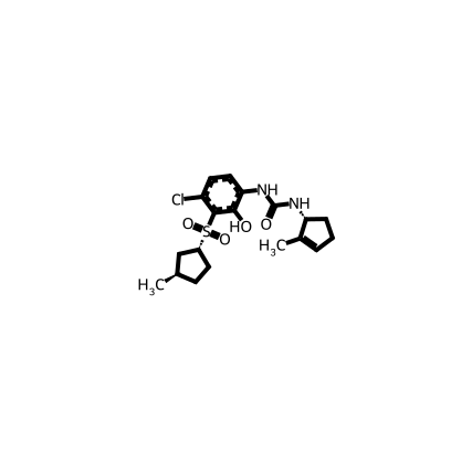 CC1=CCC[C@H]1NC(=O)Nc1ccc(Cl)c(S(=O)(=O)[C@@H]2CC[C@@H](C)C2)c1O